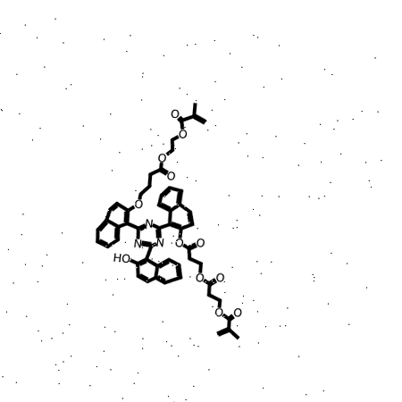 C=C(C)C(=O)OCCOC(=O)CCCOc1ccc2ccccc2c1-c1nc(-c2c(O)ccc3ccccc23)nc(-c2c(OC(=O)CCOC(=O)CCOC(=O)C(=C)C)ccc3ccccc23)n1